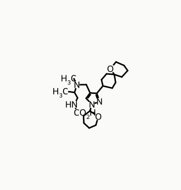 CC(CNC(=O)O)N(C)Cc1cn(C2CCCCO2)nc1C1CCC2(CCCCO2)CC1